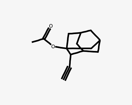 C#CC1C2CC3CC(C2)CC1(OC(C)=O)C3